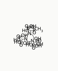 CP(=O)(O)C(N1CCN(C(P(=O)(O)O)P(=O)(O)O)CCN(C(P(=O)(O)O)P(=O)(O)O)CC1)P(=O)(O)O